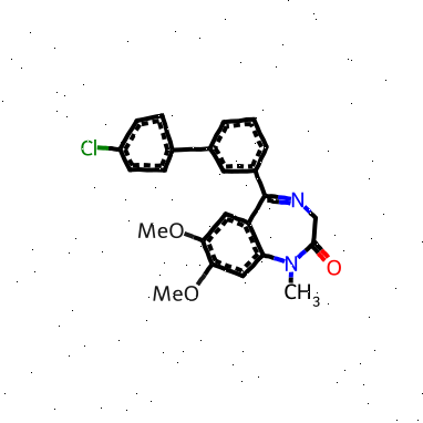 COc1cc2c(cc1OC)N(C)C(=O)CN=C2c1cccc(-c2ccc(Cl)cc2)c1